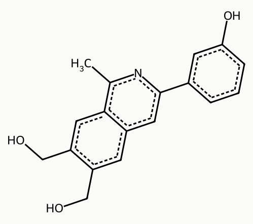 Cc1nc(-c2cccc(O)c2)cc2cc(CO)c(CO)cc12